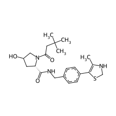 CC1=C(c2ccc(CNC(=O)[C@@H]3CC(O)CN3C(=O)CC(C)(C)C)cc2)SCN1